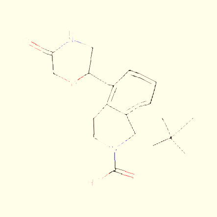 CC(C)(C)C[C@H]1c2cccc(C3CNC(=O)CO3)c2CCN1C(=O)O